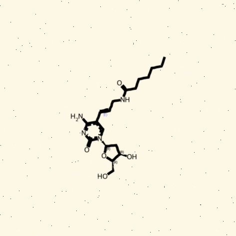 CCCCCCC(=O)NC/C=C/c1cn([C@H]2C[C@@H](O)[C@@H](CO)O2)c(=O)nc1N